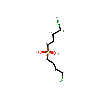 O=S(=O)(CCCCF)CCCCF